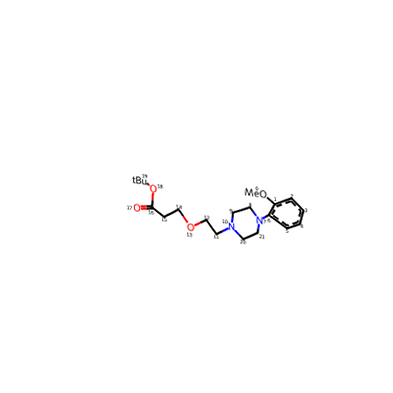 COc1ccccc1N1CCN(CCOCCC(=O)OC(C)(C)C)CC1